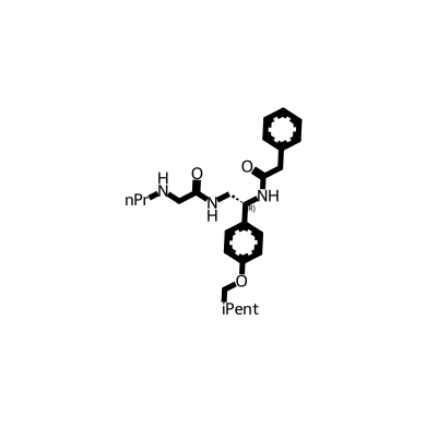 CCCNCC(=O)NC[C@H](NC(=O)Cc1ccccc1)c1ccc(OCC(C)CCC)cc1